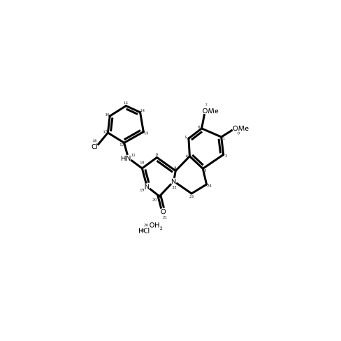 COc1cc2c(cc1OC)-c1cc(Nc3ccccc3Cl)nc(=O)n1CC2.Cl.O